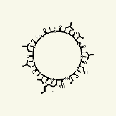 C/C=C/C[C@@H](C)[C@@H](O)[C@@H]1C(=O)N[C@H](CC)C(=O)N(C)[C@H](CS)C(=O)N(C)[C@@H](CC(C)C)C(=O)N[C@H](C(C)C)C(=O)N(C)[C@H](CC(C)C)C(=O)N[C@H](C)C(=O)N[C@@H](C)C(=O)N(C)[C@H](CC(C)C)C(=O)N(C)[C@H](CC(C)C)C(=O)N(C)[C@H](C(C)C)C(=O)N1C